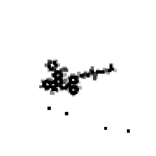 C=C(C)COCCNC(=O)OCCOc1ccc(C2(c3ccccc3)C=Cc3c4c(c5cc(N6CCCCC6)c(OC)cc5c3O2)-c2ccccc2C4(C)C)cc1